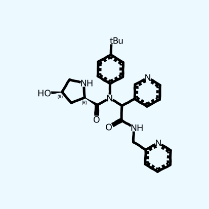 CC(C)(C)c1ccc(N(C(=O)[C@H]2C[C@@H](O)CN2)C(C(=O)NCc2ccccn2)c2cccnc2)cc1